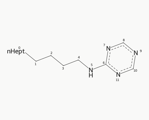 CCCCCCCCCCCNc1ncncn1